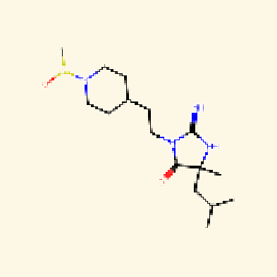 CC(C)CC1(C)NC(=N)N(CCC2CCN([S+](C)[O-])CC2)C1=O